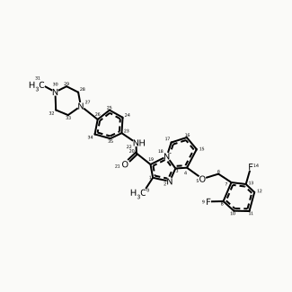 Cc1nc2c(OCc3c(F)cccc3F)cccn2c1C(=O)Nc1ccc(N2CCN(C)CC2)cc1